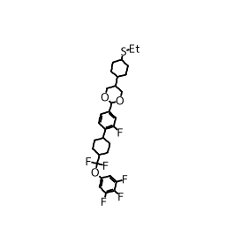 CCSC1CCC(C2COC(c3ccc(C4CCC(C(F)(F)Oc5cc(F)c(F)c(F)c5)CC4)c(F)c3)OC2)CC1